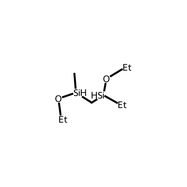 CCO[SiH](C)C[SiH](CC)OCC